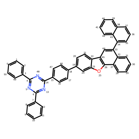 c1ccc(-c2nc(-c3ccccc3)nc(-c3ccc(-c4ccc5c(c4)oc4c6ccccc6c(-c6cccc7ccccc67)cc54)cc3)n2)cc1